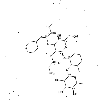 CNC(=O)[C@H](CC1CCCCC1)OC1C(NC(=O)CN)[C@H](O[C@@H]2CCCC(C)C2O[C@@H]2OC(C)[C@@H](O)C(O)C2O)OC(CO)[C@@H]1O